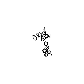 C=CC(=O)N1CCC[C@@H](n2nc(-c3ccc(Oc4cccc(OC)c4OCCC)cc3)c3cncc(OCCC)c32)C1